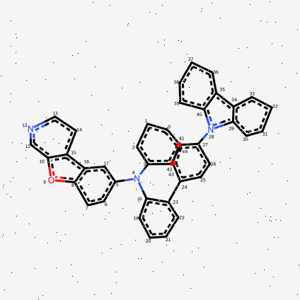 c1ccc(N(c2ccc3oc4cnccc4c3c2)c2ccccc2-c2ccc(-n3c4ccccc4c4ccccc43)cc2)cc1